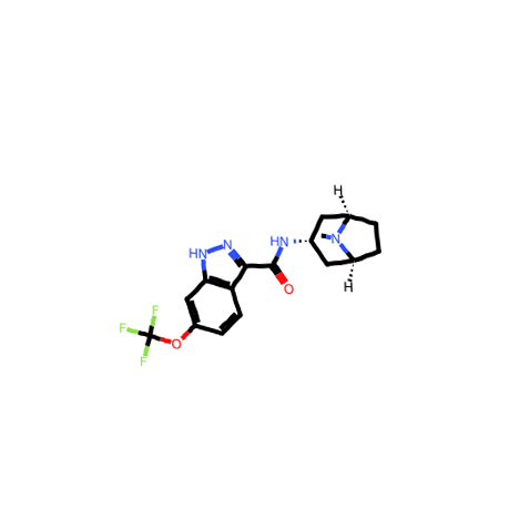 CN1[C@@H]2CC[C@H]1C[C@H](NC(=O)c1n[nH]c3cc(OC(F)(F)F)ccc13)C2